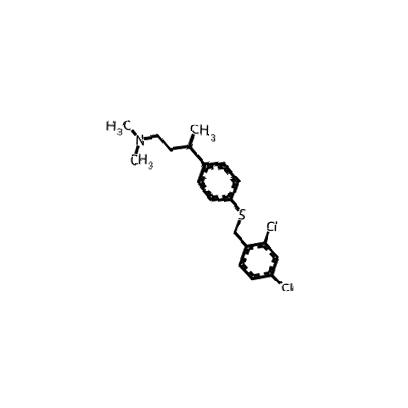 CC(CCN(C)C)c1ccc(SCc2ccc(Cl)cc2Cl)cc1